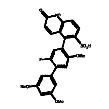 COc1cc(OC)cc(-c2cc(OC)c(-c3c(S(=O)(=O)O)ccc4[nH]c(=O)ccc34)cc2F)c1